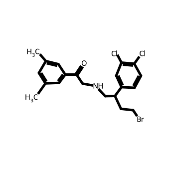 Cc1cc(C)cc(C(=O)CNCC(CCBr)c2ccc(Cl)c(Cl)c2)c1